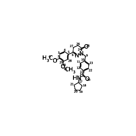 COc1ccc(C2=NN(Cc3ccc(C(=O)NC4CCCC4)cc3)C(=O)CC2)cc1OC